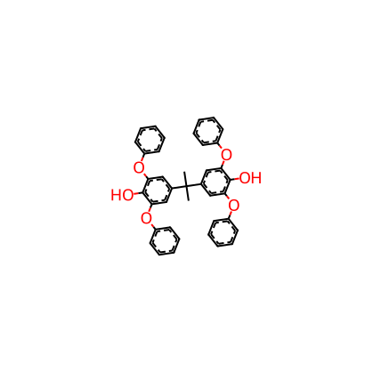 CC(C)(c1cc(Oc2ccccc2)c(O)c(Oc2ccccc2)c1)c1cc(Oc2ccccc2)c(O)c(Oc2ccccc2)c1